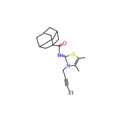 CCC#CCn1c(C)c(C)sc1=NC(=O)C12CC3CC(CC(C3)C1)C2